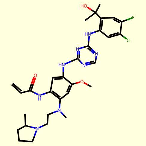 C=CC(=O)Nc1cc(Nc2ncnc(Nc3cc(Cl)c(F)cc3C(C)(C)O)n2)c(OC)cc1N(C)CCN1CCCC1C